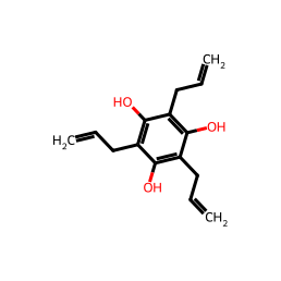 C=CCc1c(O)c(CC=C)c(O)c(CC=C)c1O